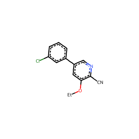 CCOc1cc(-c2cccc(Cl)c2)cnc1C#N